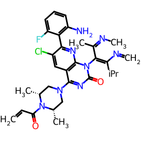 C=CC(=O)N1[C@H](C)CN(c2nc(=O)n(C(/C(C)=N\C)=C(/N=C)C(C)C)c3nc(-c4c(N)cccc4F)c(Cl)cc23)C[C@@H]1C